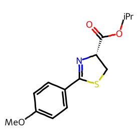 COc1ccc(C2=N[C@H](C(=O)OC(C)C)CS2)cc1